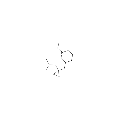 CCN1CCCC(CC2(CC(C)C)CC2)C1